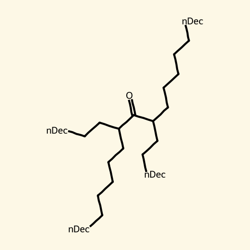 CCCCCCCCCCCCCCCC(CCCCCCCCCCCC)C(=O)C(CCCCCCCCCCCC)CCCCCCCCCCCCCCC